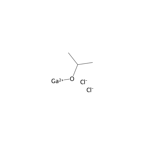 CC(C)[O][Ga+2].[Cl-].[Cl-]